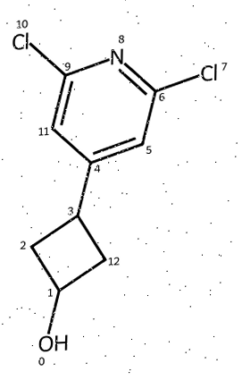 OC1CC(c2cc(Cl)nc(Cl)c2)C1